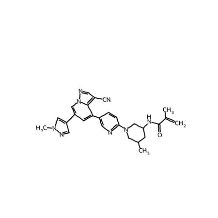 C=C(C)C(=O)NC1CC(C)CN(c2ccc(-c3cc(-c4cnn(C)c4)cn4ncc(C#N)c34)cn2)C1